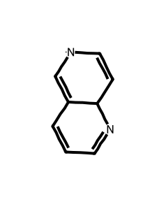 C1=CC2=C[N]C=CC2N=C1